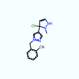 CN1NC=CC1(Cl)c1cnn(Cc2ccccc2C#N)c1